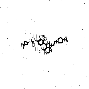 CN(C)C1CCN(CCn2nc(-c3ccc(NC(=O)OC4CC(F)(F)C4)c4c3OCO4)c3c(N)ncnc32)CC1